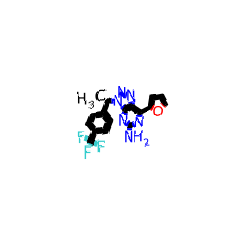 CC(c1ccc(C(F)(F)F)cc1)n1nnc2c(-c3ccco3)nc(N)nc21